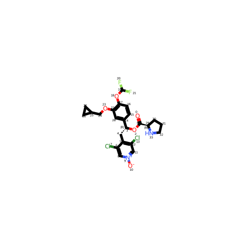 O=C(O[C@H](Cc1c(Cl)c[n+]([O-])cc1Cl)c1ccc(OC(F)F)c(OCC2CC2)c1)[C@H]1CCCN1